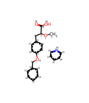 COC(Cc1ccc(OCc2ccccc2)cc1)C(=O)O.c1ccncc1